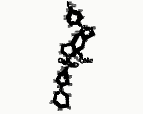 COCC12Cc3cnn(-c4ccc(F)cc4)c3C=C1CCN(S(=O)(=O)c1ccc(N3CCCCC3)cc1)C2